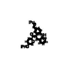 CC(C)OCc1ccc2c(c1)N(C(=O)[C@H]1CC[C@H](OC(C)C)CO1)Cc1cccnc1N2